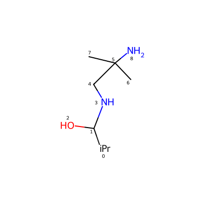 CC(C)C(O)NCC(C)(C)N